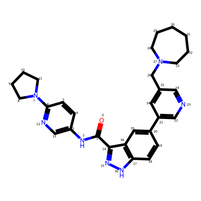 O=C(Nc1ccc(N2CCCC2)nc1)c1n[nH]c2ccc(-c3cncc(CN4CCCCCC4)c3)cc12